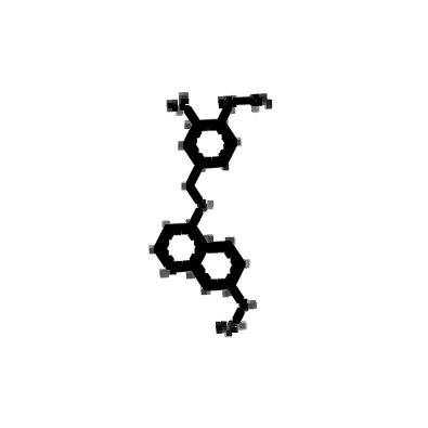 CNc1ccc(CSc2ccnc3cc(SC)ccc23)cc1C